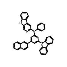 c1ccc(N(c2cc(-c3ccc4ccccc4c3)cc(-n3c4ccccc4c4ccccc43)c2)c2cc3c(cn2)oc2ccccc23)cc1